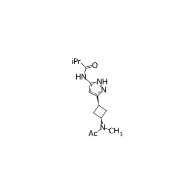 CC(=O)N(C)[C@H]1C[C@@H](c2cc(NC(=O)C(C)C)[nH]n2)C1